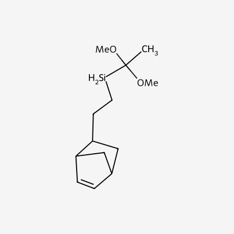 COC(C)(OC)[SiH2]CCC1CC2C=CC1C2